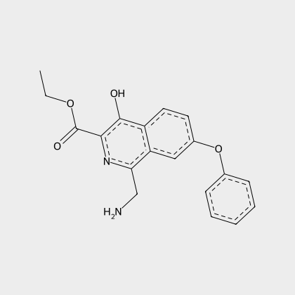 CCOC(=O)c1nc(CN)c2cc(Oc3ccccc3)ccc2c1O